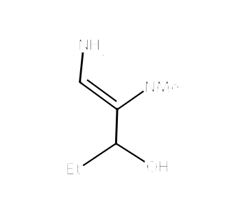 CCC(O)/C(=C/N)NC